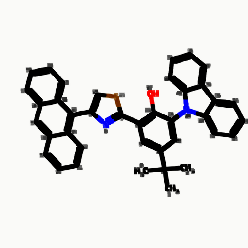 CC(C)(C)c1cc(-c2nc(-c3c4ccccc4cc4ccccc34)cs2)c(O)c(-n2c3ccccc3c3ccccc32)c1